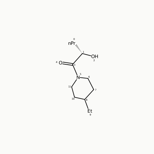 CCC[C@H](O)C(=O)N1CCC(CC)CC1